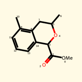 COC(=O)C1OC(C)Cc2c(C)cccc21